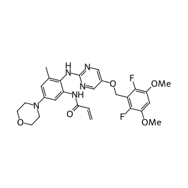 C=CC(=O)Nc1cc(N2CCOCC2)cc(C)c1Nc1ncc(OCc2c(F)c(OC)cc(OC)c2F)cn1